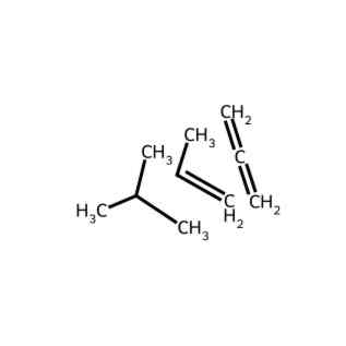 C=C=C.C=CC.CC(C)C